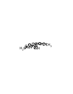 C=CC(=O)Nc1cccc(C(F)(F)c2nc(Nc3ccc(N4CCN(C)CC4)cc3)nc3[nH]ccc23)c1